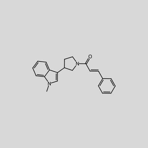 Cn1cc(C2CCN(C(=O)C=Cc3ccccc3)C2)c2ccccc21